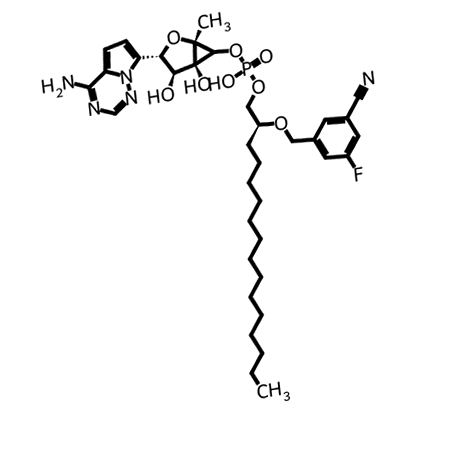 CCCCCCCCCCCCCC[C@@H](COP(=O)(O)OC1[C@@]2(C)O[C@@H](c3ccc4c(N)ncnn34)[C@H](O)[C@@]12O)OCc1cc(F)cc(C#N)c1